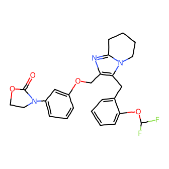 O=C1OCCN1c1cccc(OCc2nc3n(c2Cc2ccccc2OC(F)F)CCCC3)c1